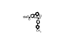 Cc1ccc(C2CCN(C(=O)Nc3c(Cl)cccc3C3=CCN(C(=O)OC(C)(C)C)CC3)CC2)cc1